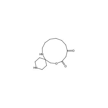 O=C1CCCCCCNC2(CCNCC2)COC(=O)C1